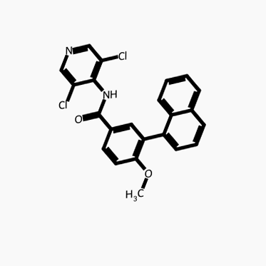 COc1ccc(C(=O)Nc2c(Cl)cncc2Cl)cc1-c1cccc2ccccc12